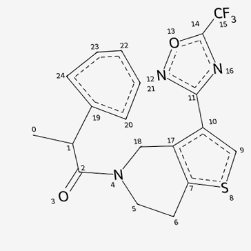 CC(C(=O)N1CCc2scc(-c3noc(C(F)(F)F)n3)c2C1)c1ccccc1